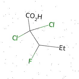 CCC(F)C(Cl)(Cl)C(=O)O